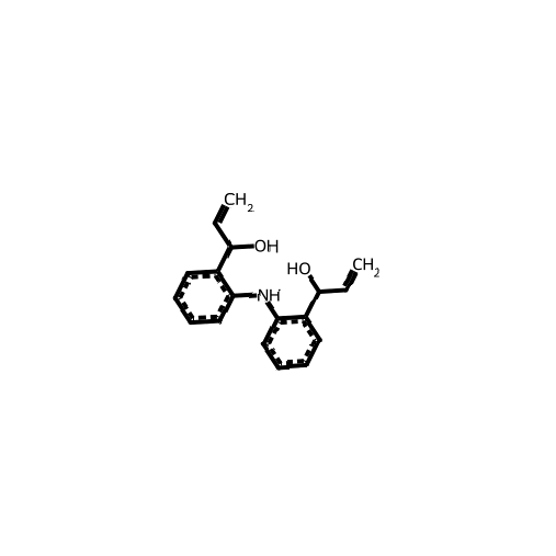 C=CC(O)c1ccccc1Nc1ccccc1C(O)C=C